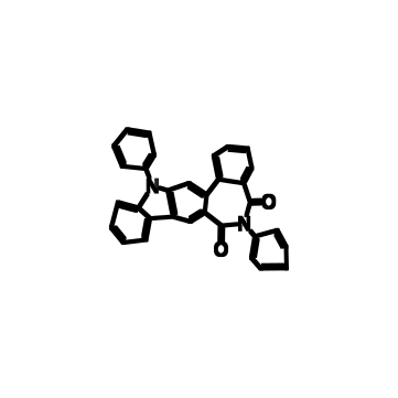 O=c1c2ccccc2c2cc3c(cc2c(=O)n1-c1ccccc1)c1ccccc1n3-c1ccccc1